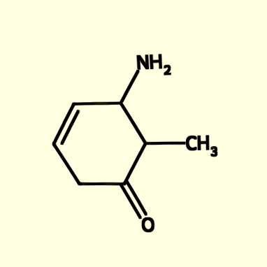 CC1C(=O)CC=CC1N